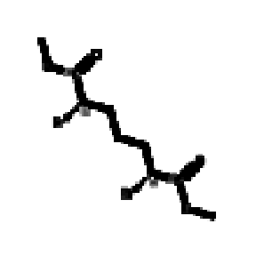 CO[13C](=O)[C@H](Br)CCC[C@H](Br)[13C](=O)OC